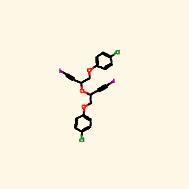 Clc1ccc(OCC(C#CI)OC(C#CI)COc2ccc(Cl)cc2)cc1